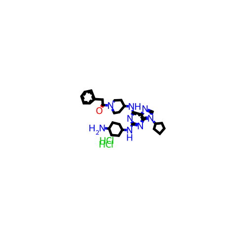 Cl.Cl.NC1CCC(Nc2nc(NC3CCN(C(=O)Cc4ccccc4)CC3)c3ncn(C4CCCC4)c3n2)CC1